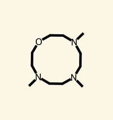 CN1CCOCCN(C)CCN(C)CC1